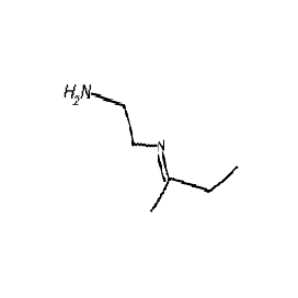 CCC(C)=NCCN